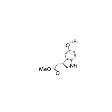 CCCOc1ccc2[nH]cc(CC(=O)OC)c2c1